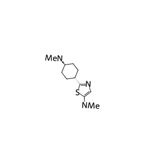 CNc1cnc([C@H]2CC[C@H](NC)CC2)s1